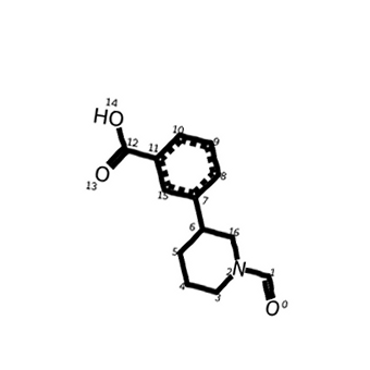 O=CN1CCCC(c2cccc(C(=O)O)c2)C1